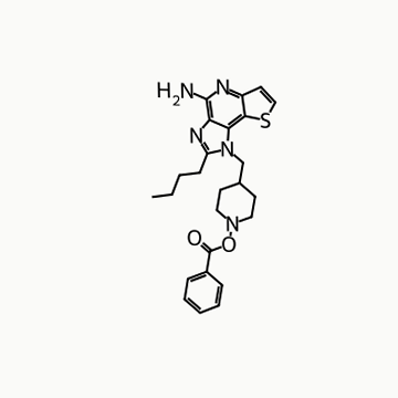 CCCCc1nc2c(N)nc3ccsc3c2n1CC1CCN(OC(=O)c2ccccc2)CC1